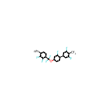 CCCc1ccc(C(F)(F)Oc2ccc(-c3cc(F)c(C(F)(F)F)c(F)c3)c(F)c2)c(F)c1F